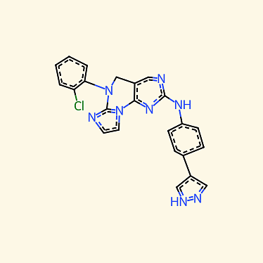 Clc1ccccc1N1Cc2cnc(Nc3ccc(-c4cn[nH]c4)cc3)nc2-n2ccnc21